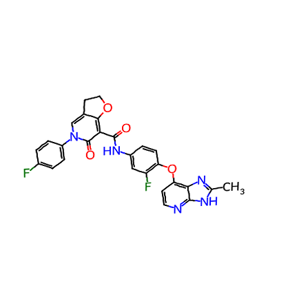 Cc1nc2c(Oc3ccc(NC(=O)c4c5c(cn(-c6ccc(F)cc6)c4=O)CCO5)cc3F)ccnc2[nH]1